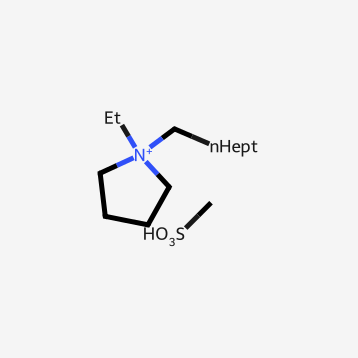 CCCCCCCC[N+]1(CC)CCCC1.CS(=O)(=O)O